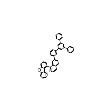 c1ccc(-c2cc(-c3ccccc3)cc(-c3cccc(-c4ccc5ccnc(-c6cccc7oc8cccnc8c67)c5c4)c3)c2)cc1